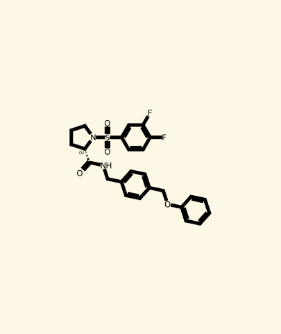 O=C(NCc1ccc(COc2ccccc2)cc1)[C@@H]1CCCN1S(=O)(=O)c1ccc(F)c(F)c1